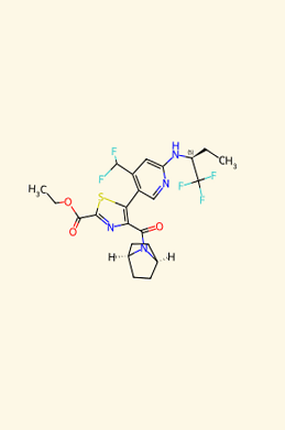 CCOC(=O)c1nc(C(=O)N2[C@H]3CC[C@@H]2CC3)c(-c2cnc(N[C@@H](CC)C(F)(F)F)cc2C(F)F)s1